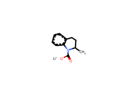 CC1CCc2ccccc2N1C(=O)[O-].[Li+]